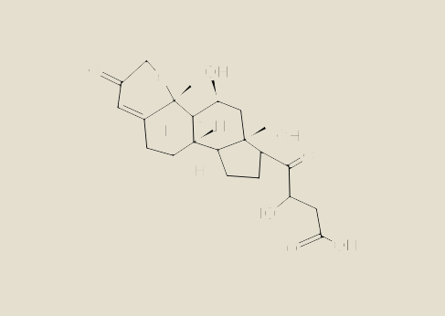 C[C@]12CCC(=O)C=C1CC[C@H]1[C@@H]3CC[C@](O)(C(=O)C(O)CC(=O)O)[C@@]3(C)C[C@H](O)[C@@]12F